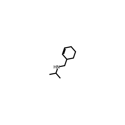 CC(C)NCC1C=CCCC1